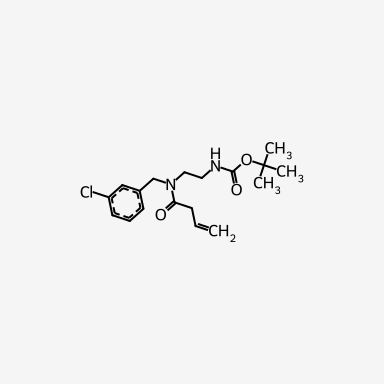 C=CCC(=O)N(CCNC(=O)OC(C)(C)C)Cc1cccc(Cl)c1